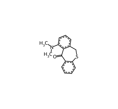 CN(C)c1cccc2c1C(=O)c1ccccc1SC2